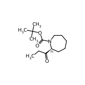 CCC(=O)[C@@H]1CCCCCN1C(=O)OC(C)(C)C